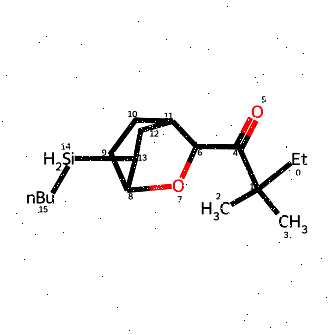 [CH2]CC(C)(C)C(=O)[C]1OC2CCC1CC2[SiH2]CCCC